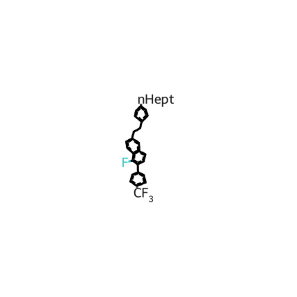 CCCCCCCc1ccc(CCc2ccc3c(F)c(-c4ccc(C(F)(F)F)cc4)ccc3c2)cc1